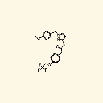 COc1ccc(Cn2ccc(NC(=O)Cc3ccc(OCC(F)(F)F)cc3)n2)cc1